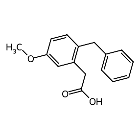 COc1ccc(Cc2ccccc2)c(CC(=O)O)c1